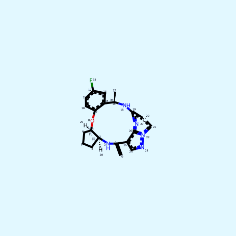 C=C1N[C@H]2CCC[C@H]2Oc2ccc(F)cc2[C@@H](C)Nc2ccn3ncc1c3n2